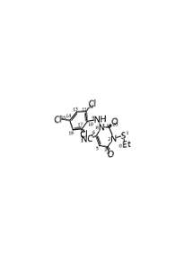 CCSn1c(=O)cc(C#N)n(Nc2c(Cl)cc(Cl)cc2Cl)c1=O